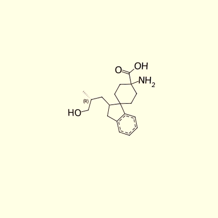 C[C@@H](CO)CC1Cc2ccccc2C12CCC(N)(C(=O)O)CC2